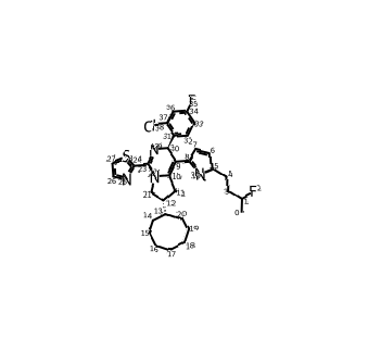 CC(F)CCC1C=CC(C2=C3C[C@H](C4CCCCCCC4)CN3C(c3nccs3)=N[C@H]2c2ccc(F)cc2Cl)=N1